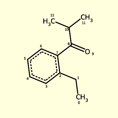 CCc1ccccc1C(=O)C(C)C